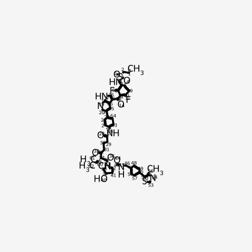 CCCS(=O)(=O)Nc1ccc(F)c(C(=O)c2c[nH]c3ncc(-c4ccc(NC(=O)CCCC(=O)[C@H](C(=O)N5C[C@H](O)C[C@H]5C(=O)NCc5ccc(-c6scnc6C)cc5)C(C)(C)C)cc4)cc23)c1F